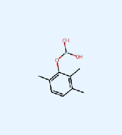 Cc1ccc(C)c(OB(O)O)c1C